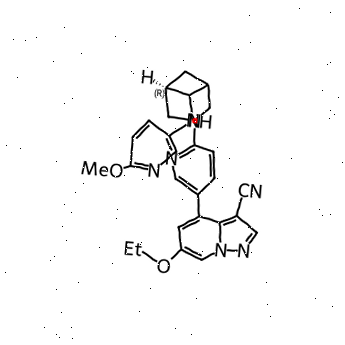 CCOc1cc(-c2ccc(N3CC4C[C@H](C3)C4Nc3ccc(OC)nc3)nc2)c2c(C#N)cnn2c1